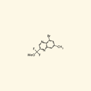 COC(F)(F)c1cnc2c(Br)cc(C)cc2n1